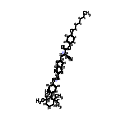 CCCCCCOc1ccc(OC(=O)/C(C#N)=C/c2cc3sc(/N=N/c4ccc(N5C(C)(C)CCCC5(C)C)cc4)nc3s2)cc1